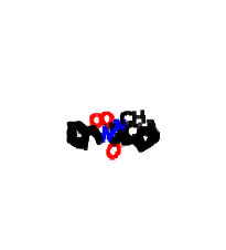 CN1C(=O)N(CC(=O)c2ccccc2)C(=O)C1(C)Cc1ccccc1